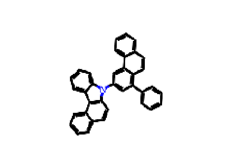 c1ccc(-c2cc(-n3c4ccccc4c4c5ccccc5ccc43)cc3c2ccc2ccccc23)cc1